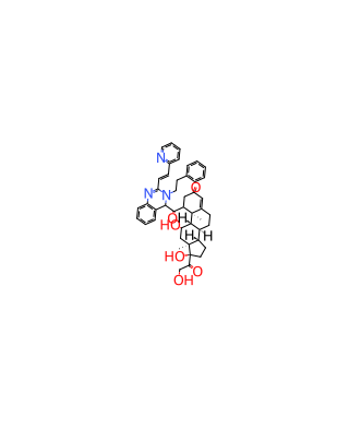 C[C@]12C[C@H](O)[C@H]3[C@@H](CCC4=CC(=O)CC(C(=O)C5c6ccccc6N=C(C=Cc6ccccn6)N5CCc5ccccc5)[C@@]43C)[C@@H]1CC[C@]2(O)C(=O)CO